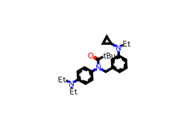 CCN(CC)c1ccc(N(Cc2cccc(N(CC)C3CC3)c2)C(=O)C(C)(C)C)cc1